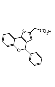 O=C(O)Cc1cc2c(s1)-c1ccccc1OC2c1ccccc1